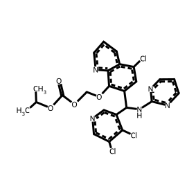 CC(C)OC(=O)OCOc1c(C(Nc2ncccn2)c2cncc(Cl)c2Cl)cc(Cl)c2cccnc12